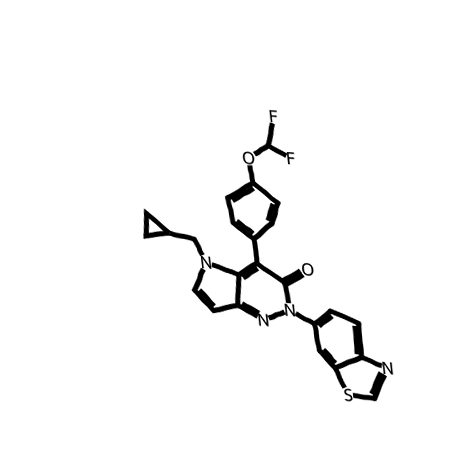 O=c1c(-c2ccc(OC(F)F)cc2)c2c(ccn2CC2CC2)nn1-c1ccc2ncsc2c1